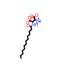 CCCCCCCCCCCCCC(=O)NC(C(=O)O)C(C(=O)[O-])[N+](C)(C)C